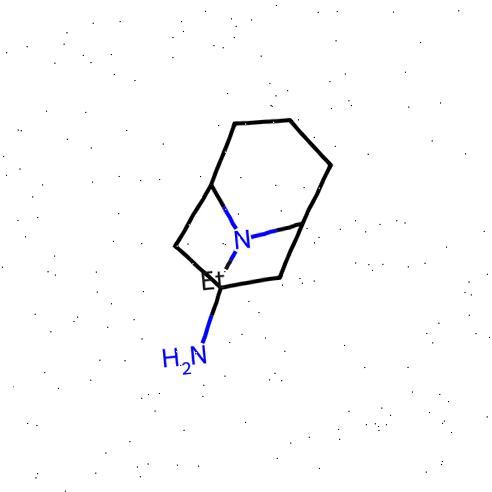 CCN1C2CCCC1CC(N)C2